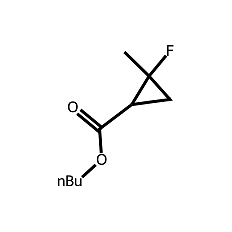 CCCCOC(=O)C1CC1(C)F